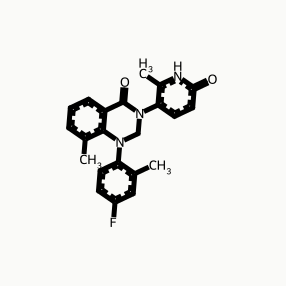 Cc1cc(F)ccc1N1CN(c2ccc(=O)[nH]c2C)C(=O)c2cccc(C)c21